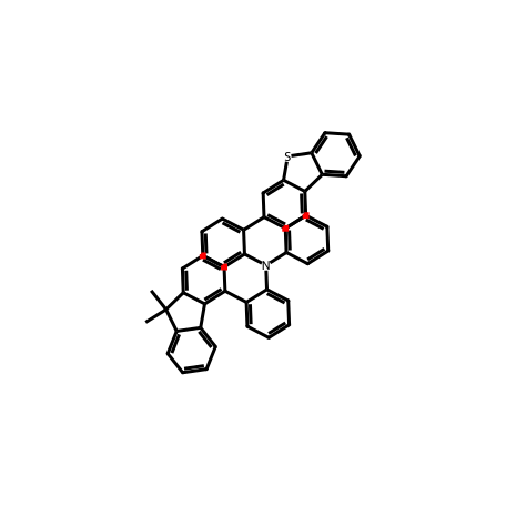 CC1(C)c2ccccc2-c2c(-c3ccccc3N(c3ccccc3)c3ccccc3-c3ccc4c(c3)sc3ccccc34)cccc21